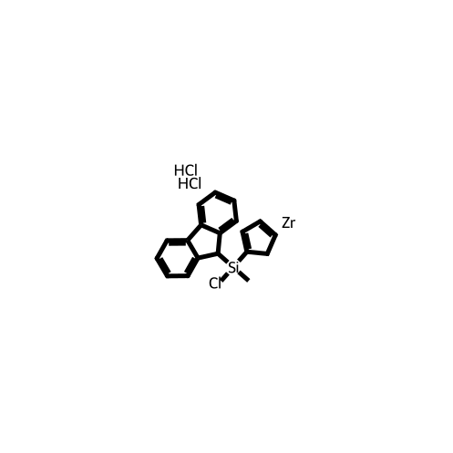 C[Si](Cl)(C1=CC=CC1)C1c2ccccc2-c2ccccc21.Cl.Cl.[Zr]